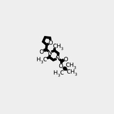 CC1CN(C(=O)OC(C)(C)C)CC(C)N1C(=O)C1CCCO1